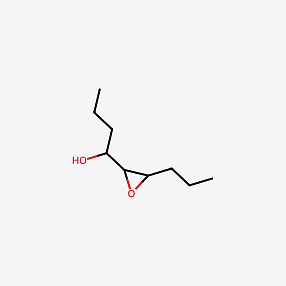 CCCC(O)C1OC1CCC